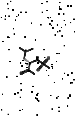 CC(=O)[C@H](CC(C)C)NS(C)(=O)=O